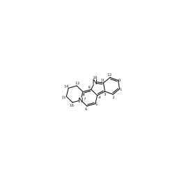 c1ccc2c3ccn4c(c-3nc2c1)CCCC4